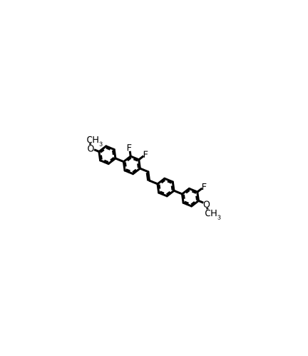 COc1ccc(-c2ccc(/C=C/c3ccc(-c4ccc(OC)c(F)c4)cc3)c(F)c2F)cc1